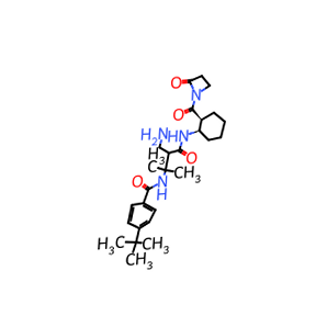 CC(C)(C)c1ccc(C(=O)NC(C)(C)C(CN)C(=O)N[C@@H]2CCCC[C@@H]2C(=O)N2CCC2=O)cc1